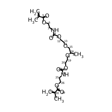 C=C(C)C(=O)OCCNC(=O)OCCOCC(C)OCCOC(=O)NCCOC(=O)C(=C)C